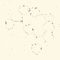 c1ccc(N(c2ccccc2)c2ccc(-n3c4ccccc4c4ccc5cc6ccn(-c7ccccc7)c6cc5c43)cc2)cc1